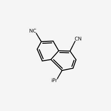 CC(C)c1ccc(C#N)c2cc(C#N)ccc12